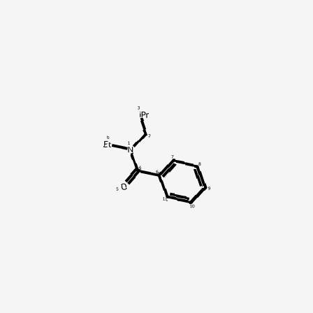 CCN(CC(C)C)C(=O)c1ccccc1